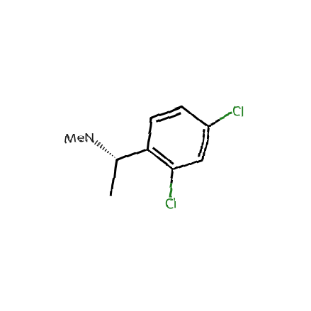 CN[C@@H](C)c1ccc(Cl)cc1Cl